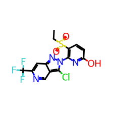 CCS(=O)(=O)c1ccc(O)nc1-n1nc2cc(C(F)(F)F)ncc2c1Cl